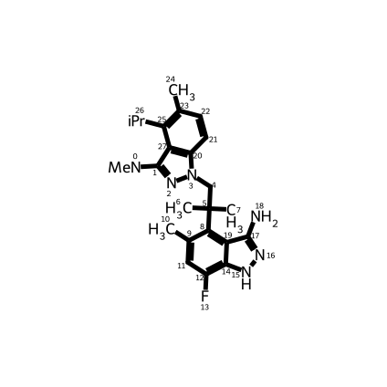 CNc1nn(CC(C)(C)c2c(C)cc(F)c3[nH]nc(N)c23)c2ccc(C)c(C(C)C)c12